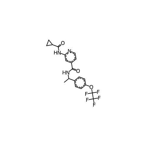 CC(NC(=O)c1ccnc(NC(=O)C2CC2)c1)c1ccc(OC(F)(F)C(F)(F)F)cc1